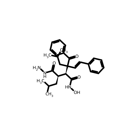 CC(C)C[C@@H](C(=O)NN)[C@H](C(=O)NO)C(/C=C/c1ccccc1)(CC(C)C)C(=O)c1ccccc1